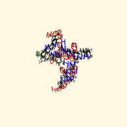 CC[C@@]1(O)C(=O)OCc2c1cc1n(c2=O)Cc2c-1nc1cc(F)c(C)c3c1c2[C@@H](NC(=O)C1(COCNC(=O)CNC(=O)[C@H](Cc2ccccc2)NC(=O)CNC(=O)CNC(=O)[C@@H](CNCC(=O)O)N2C(=O)C=CC2=O)CCCC1)CC3